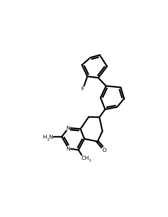 Cc1nc(N)nc2c1C(=O)CC(c1cccc(-c3ccccc3F)c1)C2